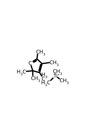 CC1=[C-]C(C)(C)C(C)=C1C.[CH3][Ti+]([CH3])[CH3]